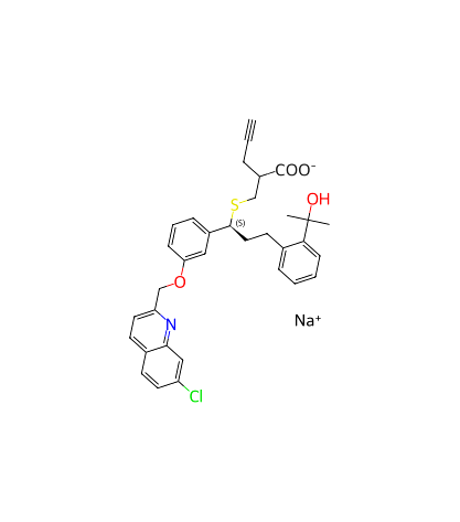 C#CCC(CS[C@@H](CCc1ccccc1C(C)(C)O)c1cccc(OCc2ccc3ccc(Cl)cc3n2)c1)C(=O)[O-].[Na+]